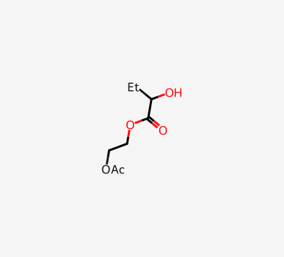 CCC(O)C(=O)OCCOC(C)=O